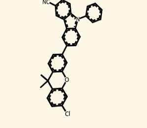 CC1(C)c2ccc(Cl)cc2Oc2cc(-c3ccc4c(c3)c3cc(C#N)ccc3n4-c3ccccc3)ccc21